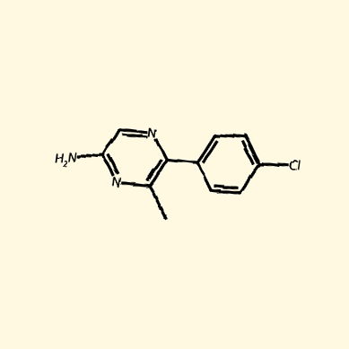 Cc1nc(N)cnc1-c1ccc(Cl)cc1